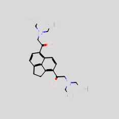 CCN(CC)CC(=O)c1ccc2c(C(=O)CN(CC)CC)ccc3c2c1CC3